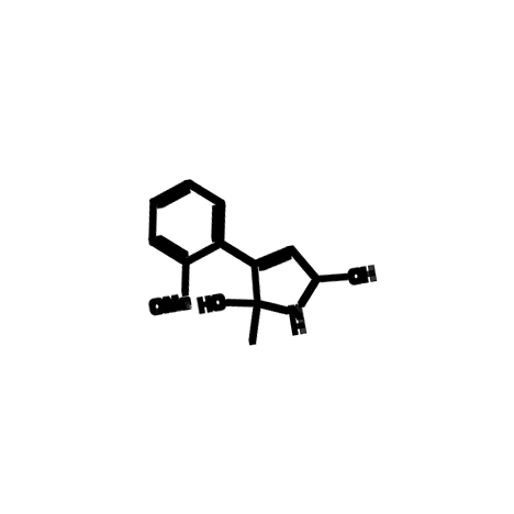 COc1ccccc1C1=CC(O)NC1(C)O